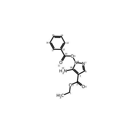 CCOC(=O)c1cnn(OC(=O)c2ccccc2)c1N